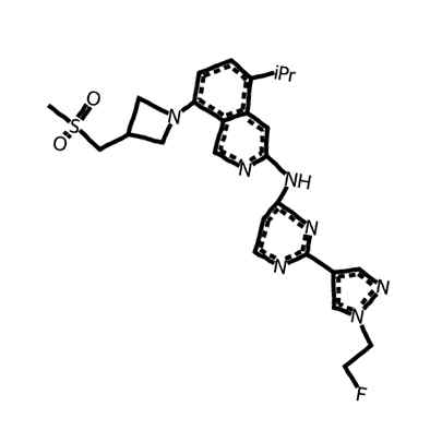 CC(C)c1ccc(N2CC(CS(C)(=O)=O)C2)c2cnc(Nc3ccnc(-c4cnn(CCF)c4)n3)cc12